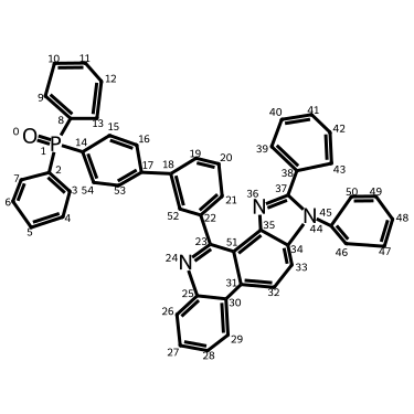 O=P(c1ccccc1)(c1ccccc1)c1ccc(-c2cccc(-c3nc4ccccc4c4ccc5c(nc(-c6ccccc6)n5-c5ccccc5)c34)c2)cc1